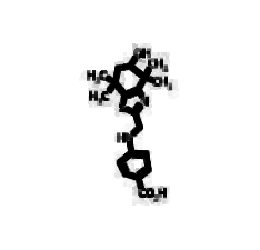 CC1(C)CC(O)C(C)(C)c2nc(CNc3ccc(C(=O)O)cc3)sc21